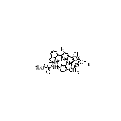 Cc1ccnc(C(C)C)c1-n1c(=O)c(S(C)(=O)=O)c(Cl)c2cc(F)c(-c3cccc4sc(NC(=O)OC(C)(C)C)nc34)nc21